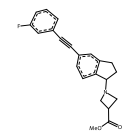 COC(=O)C1CN(C2CCc3cc(C#Cc4cccc(F)c4)ccc32)C1